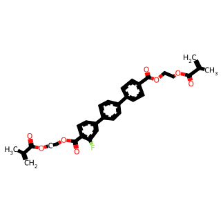 C=C(C)C(=O)OCCOC(=O)c1ccc(-c2ccc(-c3ccc(C(=O)OCCOC(=O)C(=C)C)c(F)c3)cc2)cc1